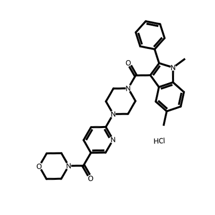 Cc1ccc2c(c1)c(C(=O)N1CCN(c3ccc(C(=O)N4CCOCC4)cn3)CC1)c(-c1ccccc1)n2C.Cl